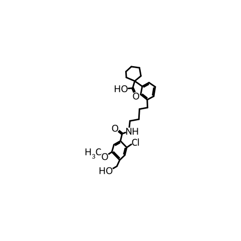 COc1cc(C(=O)NCCCCc2cccc(C3(C(=O)O)CCCCC3)c2)c(Cl)cc1CO